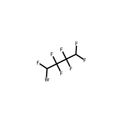 FC(F)C(F)(F)C(F)(F)C(F)Br